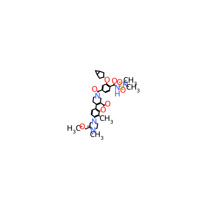 COC[C@H]1CN(c2ccc3c4c(c(=O)oc3c2C)CN(C(=O)c2ccc(C(=O)NS(=O)(=O)N(C)C)c(OC3CC5CC5C3)c2)CC4)CCN1C